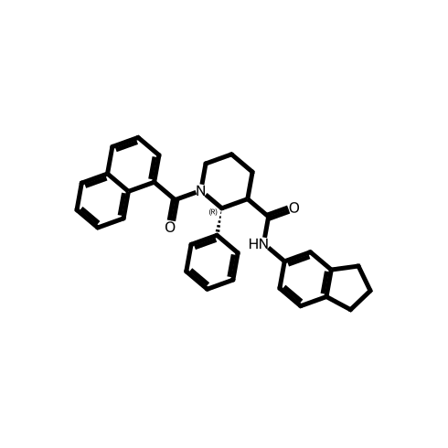 O=C(Nc1ccc2c(c1)CCC2)C1CCCN(C(=O)c2cccc3ccccc23)[C@H]1c1ccccc1